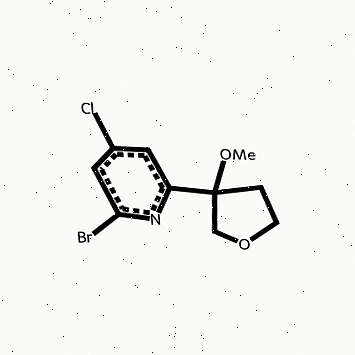 COC1(c2cc(Cl)cc(Br)n2)CCOC1